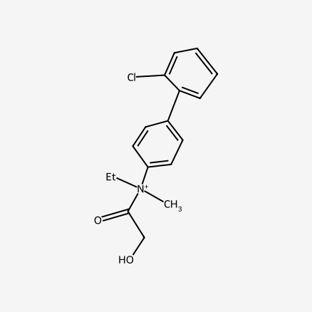 CC[N+](C)(C(=O)CO)c1ccc(-c2ccccc2Cl)cc1